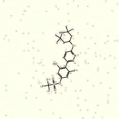 CC1(C)CC(Oc2ccc(-c3c(O)cc(OS(=O)(=O)C(F)(F)F)cc3F)nn2)CC(C)(C)N1